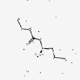 CCC[C@@H](N)CC(=O)OCC